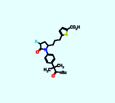 CCCCC(=O)C(C)(C)c1ccc(N2C(=O)C(F)CC2CCCc2ccc(C(=O)O)s2)cc1